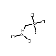 Cl[SiH](Cl)C[Si](Cl)(Cl)Cl